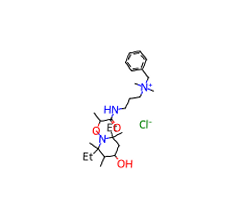 CCC1(C)CC(O)C(C)C(C)(CC)N1OC(C)C(=O)NCCC[N+](C)(C)Cc1ccccc1.[Cl-]